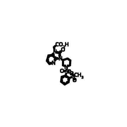 CS(=O)(=O)c1ccccc1S(=O)(=O)N1CCC[C@H](n2c(=O)n(CC(=O)O)c3cccnc32)C1